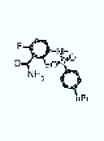 CCCc1ccc(S(=O)(=O)Nc2ccc(F)c(C(N)=O)c2F)cc1